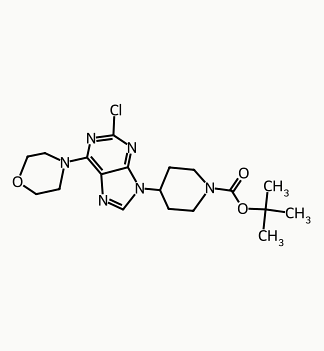 CC(C)(C)OC(=O)N1CCC(n2cnc3c(N4CCOCC4)nc(Cl)nc32)CC1